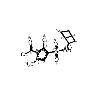 Cn1cc(S(=O)(=O)NC2CC3CCC32)c(Cl)c1C(=O)Cl